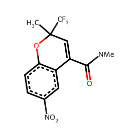 CNC(=O)C1=CC(C)(C(F)(F)F)Oc2ccc([N+](=O)[O-])cc21